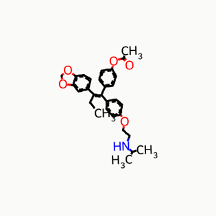 CCC(=C(c1ccc(OCCNC(C)C)cc1)c1ccc(OC(C)=O)cc1)c1ccc2c(c1)OCO2